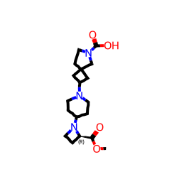 COC(=O)[C@H]1CCN1C1CCN(C2CC3(CCN(C(=O)O)C3)C2)CC1